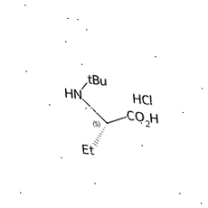 CC[C@H](NC(C)(C)C)C(=O)O.Cl